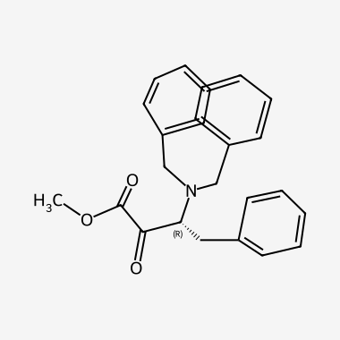 COC(=O)C(=O)[C@@H](Cc1ccccc1)N(Cc1ccccc1)Cc1ccccc1